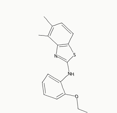 CCOc1ccccc1Nc1nc2c(C)c(C)ccc2s1